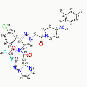 Cc1ccc(CN(C)C2CCN(C(=O)Cn3cc(NC(=O)c4cnn5cccnc45)c(-c4cc(Cl)ccc4OC(F)F)n3)CC2)c(C)c1